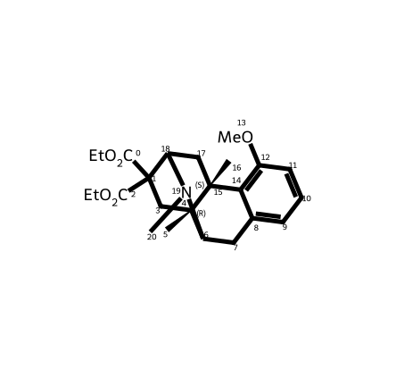 CCOC(=O)C1(C(=O)OCC)C[C@@]2(C)C3Cc4cccc(OC)c4[C@@]2(C)CC1N3C